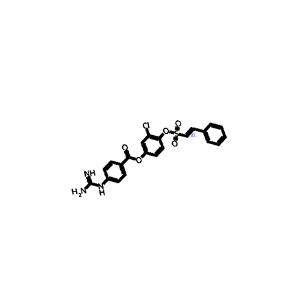 N=C(N)Nc1ccc(C(=O)Oc2ccc(OS(=O)(=O)/C=C/c3ccccc3)c(Cl)c2)cc1